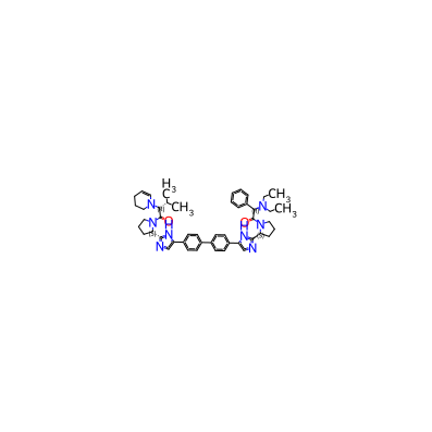 CCN(CC)[C@@H](C(=O)N1CCC[C@H]1c1ncc(-c2ccc(-c3ccc(-c4cnc([C@@H]5CCCN5C(=O)[C@@H](C(C)C)N5C=CCCC5)[nH]4)cc3)cc2)[nH]1)c1ccccc1